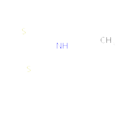 Cc1cccc2c1NC(=S)SC2